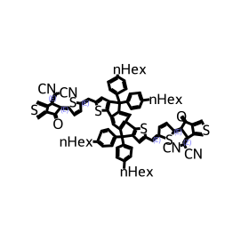 [C-]#[N+]/C(C#N)=C1\C(=c2\cc/c(=C\c3cc4c(s3)-c3cc5c(cc3C4(c3ccc(CCCCCC)cc3)c3ccc(CCCCCC)cc3)-c3sc(/C=c4\cc/c(=C6\C(=O)c7cscc7\C6=C(\C#N)[N+]#[C-])s4)cc3C5(c3ccc(CCCCCC)cc3)c3ccc(CCCCCC)cc3)s2)C(=O)c2cscc21